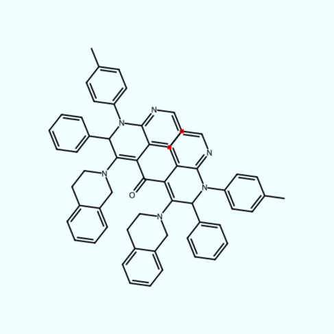 Cc1ccc(N2c3ncccc3C(C(=O)C3=C(N4CCc5ccccc5C4)C(c4ccccc4)N(c4ccc(C)cc4)c4ncccc43)=C(N3CCc4ccccc4C3)C2c2ccccc2)cc1